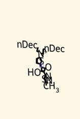 CCCCCCCCCCCC[N+](CCCCCCCCCCCC)=C1C=C/C(=C2/C(=O)C(c3nnc(C)s3)=C2O)S1